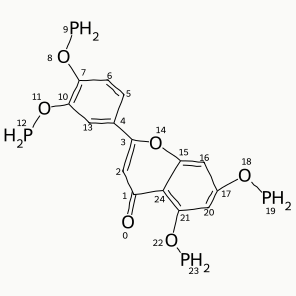 O=c1cc(-c2ccc(OP)c(OP)c2)oc2cc(OP)cc(OP)c12